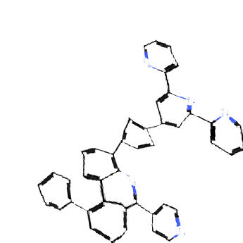 c1ccc(-c2cccc3c(-c4ccncc4)nc4c(-c5ccc(-c6cc(-c7ccccn7)nc(-c7ccccn7)c6)cc5)cccc4c23)cc1